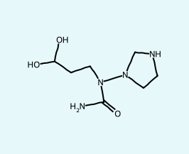 NC(=O)N(CCC(O)O)N1CCNC1